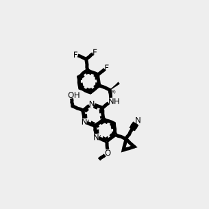 COc1nc2nc(CO)nc(N[C@H](C)c3cccc(C(F)F)c3F)c2cc1C1(C#N)CC1